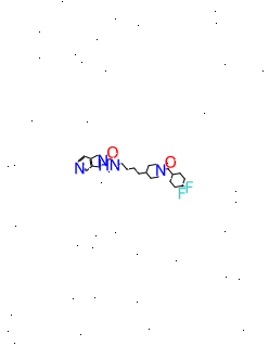 O=C(NCCCCC1CCN(C(=O)C2CCC(F)(F)CC2)CC1)N1Cc2ccncc2C1